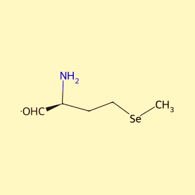 C[Se]CC[C@H](N)[C]=O